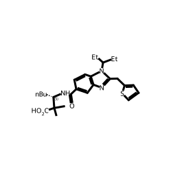 CCCC[C@H](NC(=O)c1ccc2c(c1)nc(Cc1cccs1)n2C(CC)CC)C(C)(C)C(=O)O